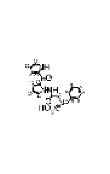 O=C(CN(Cc1ccccc1)C(=O)O)Nn1cccc1C(=O)c1ccc[nH]1